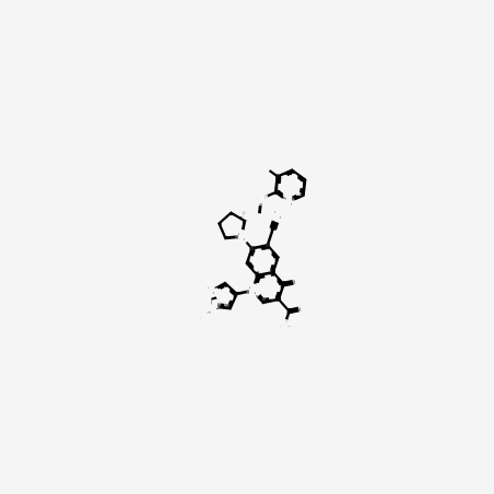 Cn1cc(-n2cc(C(=O)O)c(=O)c3cc(C#N)c(N4CCC[C@@H]4COc4ncccc4F)cc32)cn1